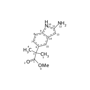 COC(=O)C(C)(C)c1ccc2[nH]c(N)cc2c1